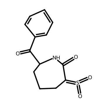 O=C1NC(C(=O)c2ccccc2)CCCC1=S(=O)=O